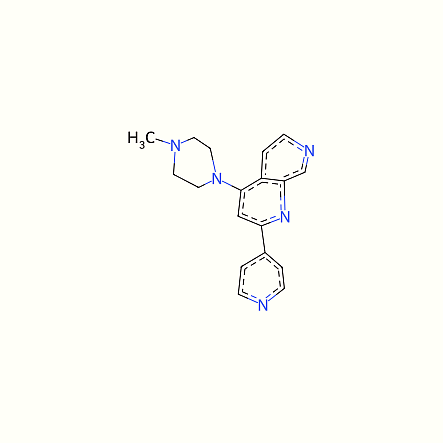 CN1CCN(c2cc(-c3ccncc3)nc3cnccc23)CC1